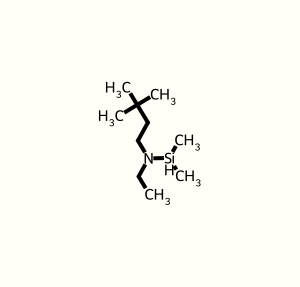 CCN(CCC(C)(C)C)[SiH](C)C